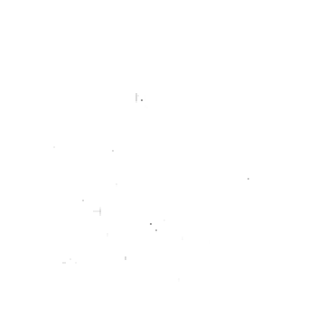 O=c1cc(C(F)(F)F)c2cc(N3C(c4ccccc4)CCC3[C@@H](O)C(F)(F)F)ccc2[nH]1